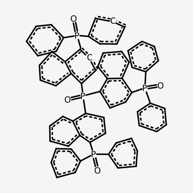 O=P(c1ccccc1)(c1ccccc1)c1ccc(P(=O)(c2ccc(P(=O)(c3ccccc3)c3ccccc3)c3ccccc23)c2ccc(P(=O)(c3ccccc3)c3ccccc3)c3ccccc23)c2ccccc12